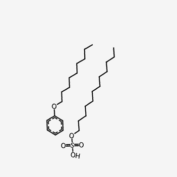 CCCCCCCCCCCCOS(=O)(=O)O.CCCCCCCCCOc1ccccc1